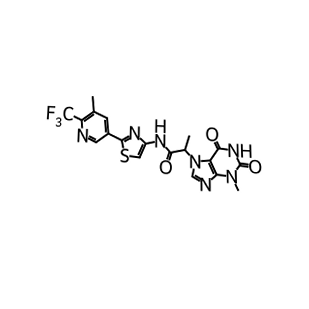 Cc1cc(-c2nc(NC(=O)C(C)n3cnc4c3c(=O)[nH]c(=O)n4C)cs2)cnc1C(F)(F)F